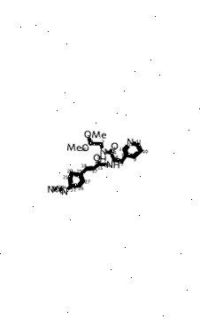 COC(CNC(=O)/C(=C\c1cccnc1)NC(=O)C=Cc1ccc(N=[N+]=[N-])cc1)OC